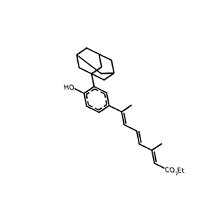 CCOC(=O)/C=C(C)/C=C/C=C(\C)c1ccc(O)c(C23CC4CC(CC(C4)C2)C3)c1